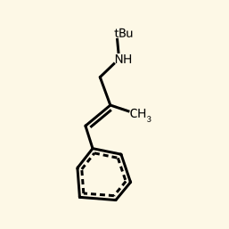 C/C(=C\c1ccccc1)CNC(C)(C)C